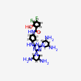 N[C@@H]1C[C@H](N)CN(c2nc(Nc3ccc(NC(=O)c4ccc(F)c(F)c4O)cc3)nc(N3C[C@H](N)C[C@H](N)C3)n2)C1